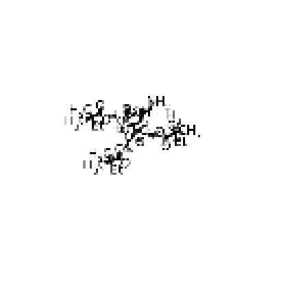 CCC(C)(C)C(=O)OCOP(=O)(O)C(O)(CCCN)P(=O)(OCOC(=O)C(C)(C)CC)OCOC(=O)C(C)(C)CC